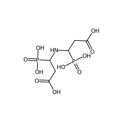 O=C(O)CC(NC(CC(=O)O)P(=O)(O)O)P(=O)(O)O